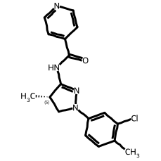 Cc1ccc(N2C[C@H](C)C(NC(=O)c3ccncc3)=N2)cc1Cl